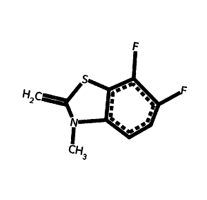 C=C1Sc2c(ccc(F)c2F)N1C